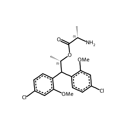 COc1cc(Cl)ccc1C(c1ccc(Cl)cc1OC)[C@H](C)OC(=O)[C@H](C)N